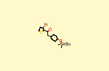 CC(C)(C)[Si](C)(C)Oc1ccc(CC(=O)c2sccc2Br)cc1